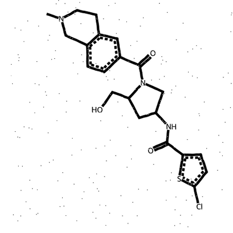 CN1CCc2cc(C(=O)N3CC(NC(=O)c4ccc(Cl)s4)CC3CO)ccc2C1